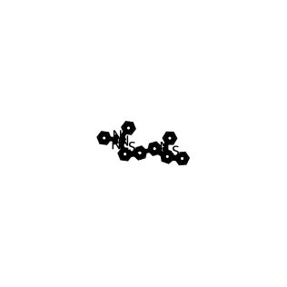 c1ccc(-c2nc(-c3ccccc3)nc(-c3cccc4c3sc3cc(-c5ccc6c(c5)c5ccc7c8ccccc8sc7c5n6-c5ccccc5)ccc34)n2)cc1